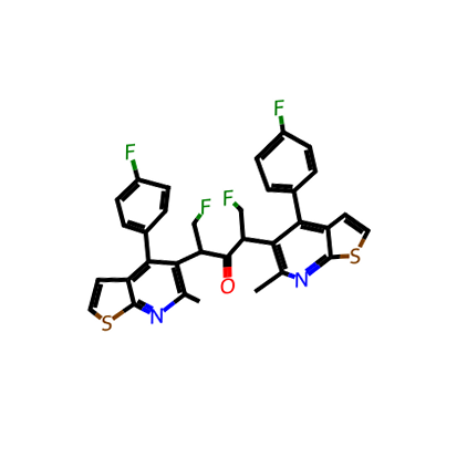 Cc1nc2sccc2c(-c2ccc(F)cc2)c1C(CF)C(=O)C(CF)c1c(C)nc2sccc2c1-c1ccc(F)cc1